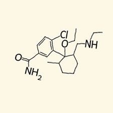 CCNCC1CCCC(C)C1(OCC)c1cc(C(N)=O)ccc1Cl